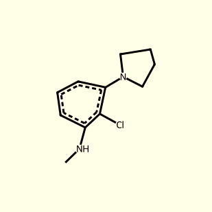 CNc1cccc(N2CCCC2)c1Cl